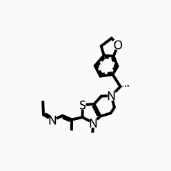 C/C=N\C=C(/C)C1SC2=C(CCN([C@@H](C)c3ccc4c(c3)OCC4)C2)N1C